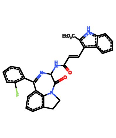 CCOC(=O)c1[nH]c2ccccc2c1/C=C/C(=O)NC1N=C(c2ccccc2F)c2cccc3c2N(CC3)C1=O